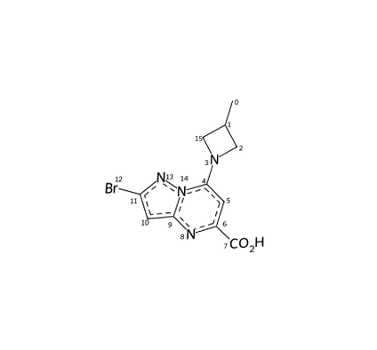 CC1CN(c2cc(C(=O)O)nc3cc(Br)nn23)C1